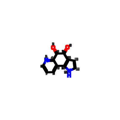 O=C1C(=O)c2ncccc2-c2[nH]ccc21